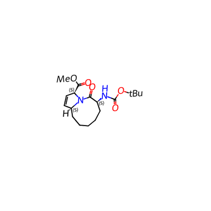 COC(=O)[C@@H]1C=C[C@@H]2CCCCC[C@H](NC(=O)OC(C)(C)C)C(=O)N21